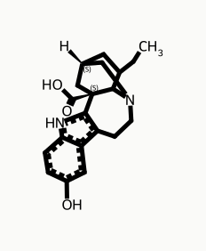 CCC1C[C@@H]2CN3CCc4c([nH]c5ccc(O)cc45)[C@](C(=O)O)(C2)C13